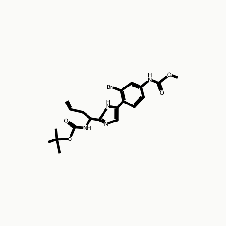 C=CCC(NC(=O)OC(C)(C)C)c1ncc(-c2ccc(NC(=O)OC)cc2Br)[nH]1